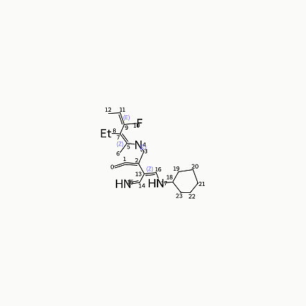 C=C=C(\C=N/C(C)=C(CC)\C(F)=C/C)/C(C=N)=C/NC1CCCCC1